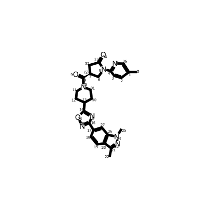 Cc1ccc(N2C[C@@H](C(=O)N3CCC(c4nc(-c5ccc6c(C)nn(C)c6c5)no4)CC3)CC2=O)nc1